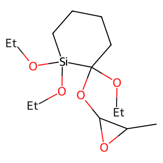 CCOC1(OC2OC2C)CCCC[Si]1(OCC)OCC